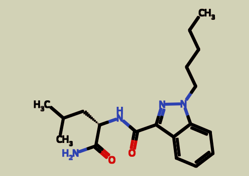 CCCCCn1nc(C(=O)N[C@@H](CC(C)C)C(N)=O)c2ccccc21